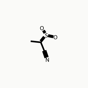 CC(C#N)=S(=O)=O